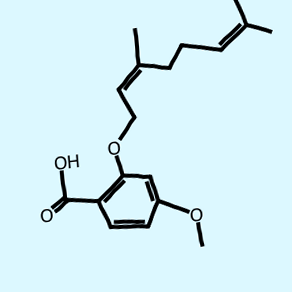 COc1ccc(C(=O)O)c(OCC=C(C)CCC=C(C)C)c1